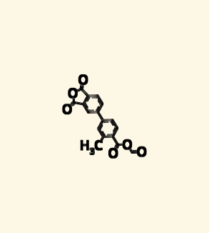 Cc1cc(-c2ccc3c(c2)C(=O)OC3=O)ccc1C(=O)OC=O